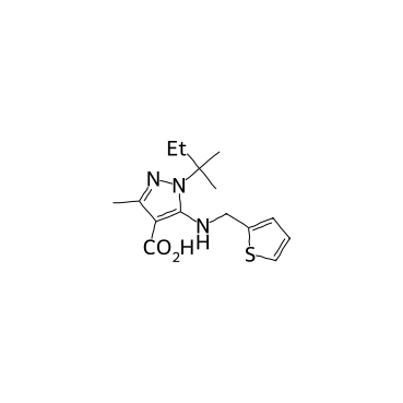 CCC(C)(C)n1nc(C)c(C(=O)O)c1NCc1cccs1